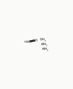 O.[AlH3].[AlH3].[O]=[AlH]